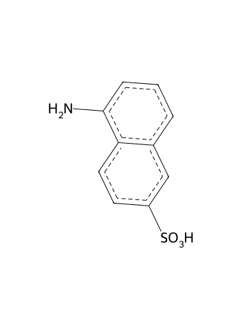 Nc1cccc2cc(S(=O)(=O)O)ccc12